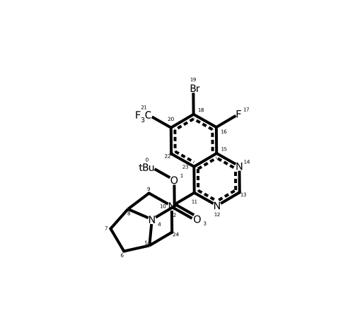 CC(C)(C)OC(=O)N1C2CCC1CN(c1ncnc3c(F)c(Br)c(C(F)(F)F)cc13)C2